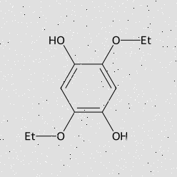 CCOc1cc(O)c(OCC)cc1O